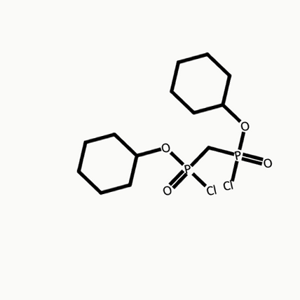 O=P(Cl)(CP(=O)(Cl)OC1CCCCC1)OC1CCCCC1